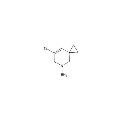 BN1CC(CC)=CC2(CC2)C1